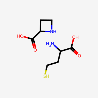 NC(CCS)C(=O)O.O=C(O)C1CCN1